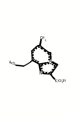 CCOC(=O)c1cn2cc(C(F)(F)F)cc(COC(C)=O)c2n1